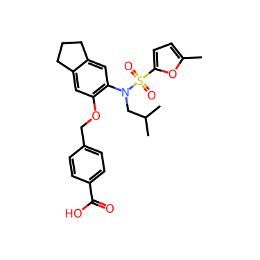 Cc1ccc(S(=O)(=O)N(CC(C)C)c2cc3c(cc2OCc2ccc(C(=O)O)cc2)CCC3)o1